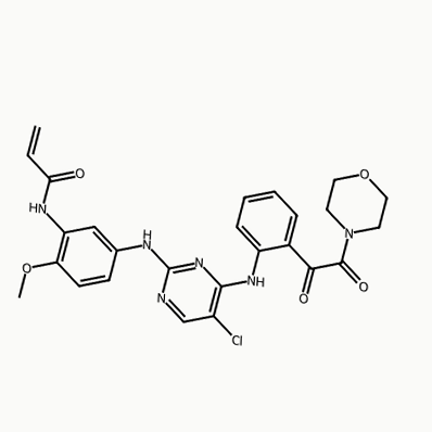 C=CC(=O)Nc1cc(Nc2ncc(Cl)c(Nc3ccccc3C(=O)C(=O)N3CCOCC3)n2)ccc1OC